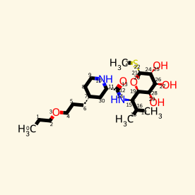 CCCOCCC[C@@H]1CCN[C@H](C(=O)N[C@H](C(C)C)[C@H]2O[C@H](SC)[C@H](O)[C@@H](O)[C@H]2O)C1